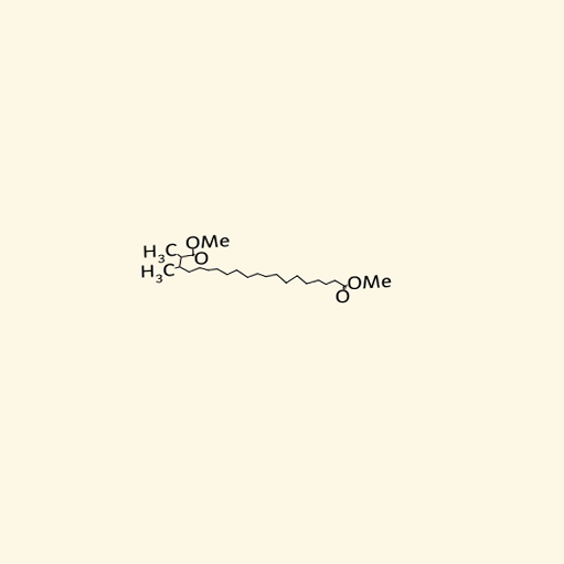 COC(=O)CCCCCCCCCCCCCCCCC(C)C(C)C(=O)OC